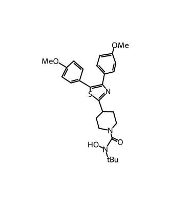 COc1ccc(-c2nc(C3CCN(C(=O)N(O)C(C)(C)C)CC3)sc2-c2ccc(OC)cc2)cc1